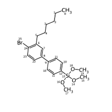 CCCCCCc1cc(-c2ccc([Si](OC)(OC)OC)cc2)ccc1Br